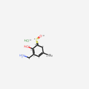 CC(C)(C)C1=CC(CN)=C(O)C(=S=O)C1.Cl